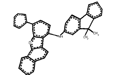 CC1(C)c2ccccc2-c2ccc(Nc3ccc(-c4ccccc4)c4oc5c6ccccc6ccc5c34)cc21